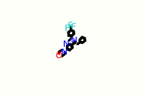 N#C/C(=N\[C@H](Cc1ccccc1)c1ccc(N2CCOCC2)cc1)c1ccc(C(F)(F)F)cc1